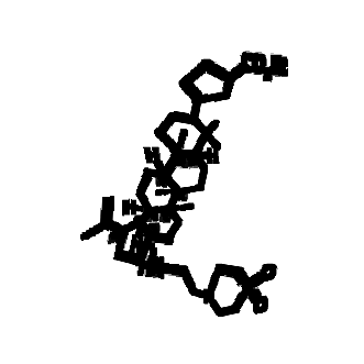 C=C(C)[C@@H]1CC[C@]2(NCCN3CCS(=O)(=O)CC3)CC[C@]3(C)[C@H](CC[C@@H]4[C@@]5(C)CC=C(C6=CCC(C(=O)OCC)C6)C(C)(C)[C@@H]5CC[C@]43C)[C@@H]12